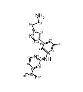 Cc1cc(Nc2nccc(C(F)F)n2)cc(-c2cnn(CCN)c2)c1